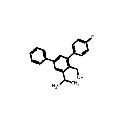 CC(C)c1cc(-c2ccccc2)cc(-c2ccc(F)cc2)c1CO